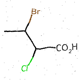 CC(Br)C(Cl)C(=O)O